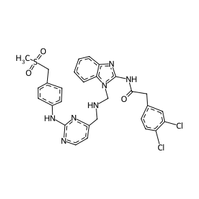 CS(=O)(=O)Cc1ccc(Nc2nccc(CNCn3c(NC(=O)Cc4ccc(Cl)c(Cl)c4)nc4ccccc43)n2)cc1